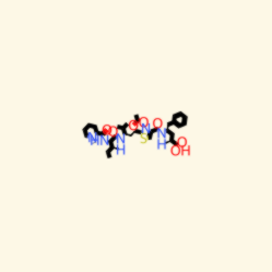 CC[C@H](C)[C@H](NC(=O)C1CCCCN1C)C(=O)N[C@H](C[C@@H](OC(C)=O)c1nc(C(=O)N[C@@H](Cc2ccccc2)C[C@H](C)C(=O)O)cs1)C(C)C